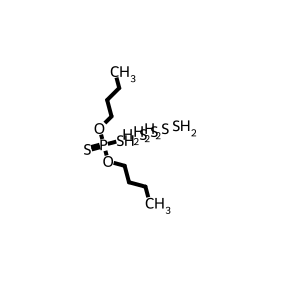 CCCCOP(=S)(S)OCCCC.S.S.S.S